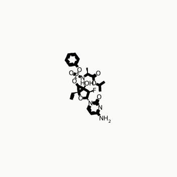 C=C[C@]12O[C@@H](n3ccc(N)nc3=O)[C@H](F)[C@@]1(O)C2OP(=O)(N[C@@H](C)C(=O)OC(C)C)Oc1ccccc1